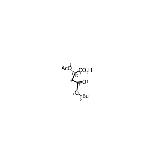 CCCCOC(=O)C[C@H](OC(C)=O)C(=O)O